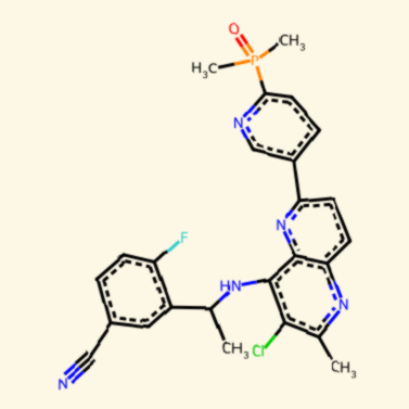 Cc1nc2ccc(-c3ccc(P(C)(C)=O)nc3)nc2c(NC(C)c2cc(C#N)ccc2F)c1Cl